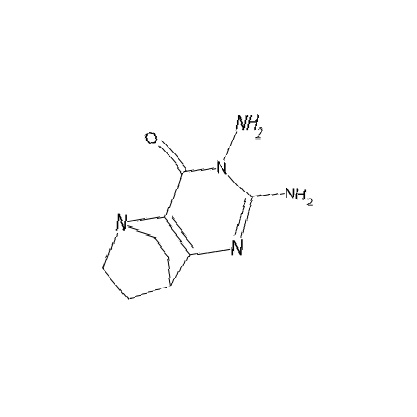 Nc1nc2c(c(=O)n1N)N1CCC2CC1